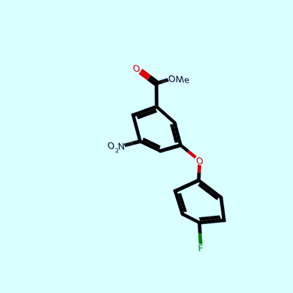 COC(=O)c1cc(Oc2ccc(F)cc2)cc([N+](=O)[O-])c1